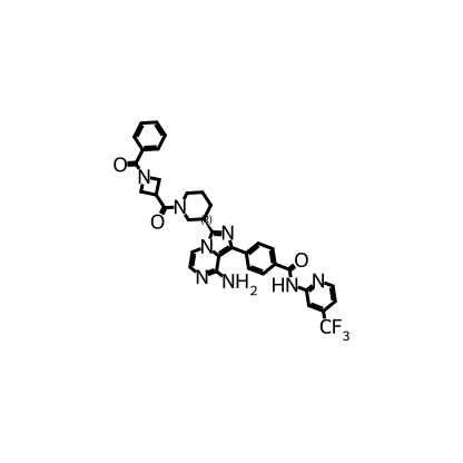 Nc1nccn2c([C@@H]3CCCN(C(=O)C4CN(C(=O)c5ccccc5)C4)C3)nc(-c3ccc(C(=O)Nc4cc(C(F)(F)F)ccn4)cc3)c12